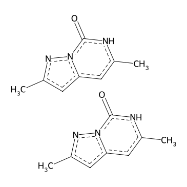 Cc1cc2cc(C)[nH]c(=O)n2n1.Cc1cc2cc(C)[nH]c(=O)n2n1